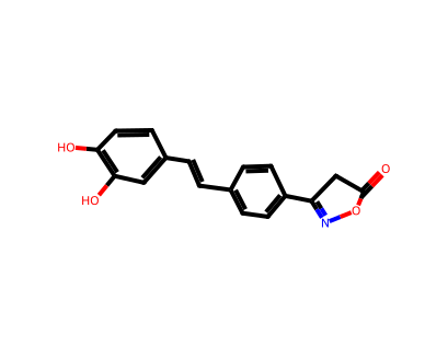 O=C1CC(c2ccc(C=Cc3ccc(O)c(O)c3)cc2)=NO1